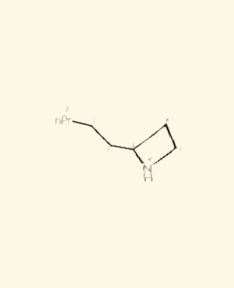 CCCCCC1CCN1